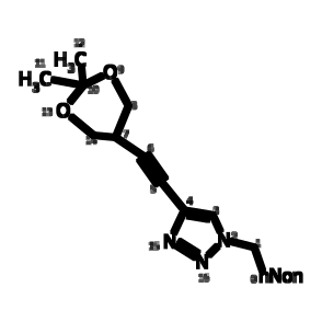 CCCCCCCCCCn1cc(C#CC2COC(C)(C)OC2)nn1